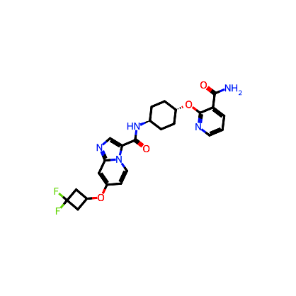 NC(=O)c1cccnc1O[C@H]1CC[C@H](NC(=O)c2cnc3cc(OC4CC(F)(F)C4)ccn23)CC1